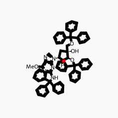 COc1nc(NC(c2ccccc2)(c2ccccc2)c2ccccc2)nc2c1ncn2[C@@H]1C[C@@](O)(COC(c2ccccc2)(c2ccccc2)c2ccccc2)[C@@H](OC(c2ccccc2)(c2ccccc2)c2ccccc2)[C@@H]1F